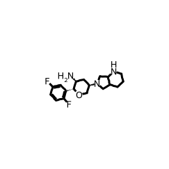 N[C@H]1C[C@@H](N2CC3CCCNC3C2)CO[C@@H]1c1cc(F)ccc1F